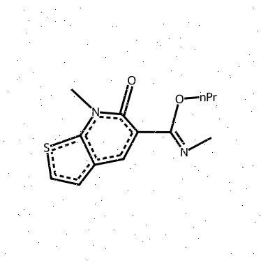 CCCOC(=NC)c1cc2ccsc2n(C)c1=O